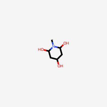 [CH2]N1C(O)CC(O)CC1O